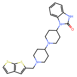 O=c1[nH]c2ccccc2n1C1CCN(C2CCN(Cc3cc4ccsc4s3)CC2)CC1